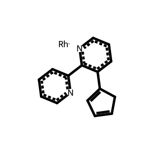 C1=CCC(c2cccnc2-c2ccccn2)=C1.[Rh]